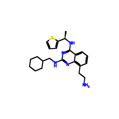 C[C@@H](Nc1nc(NCC2CCCCC2)nc2c(CCN)cccc12)c1cccs1